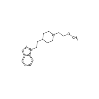 COCCN1CCC(CCn2[c]cc3ccccc32)CC1